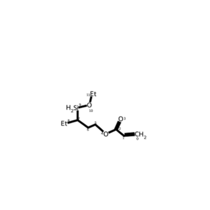 C=CC(=O)OCCC(CC)[SiH2]OCC